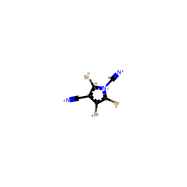 N#Cc1c(Br)c(Br)n(C#N)c1Br